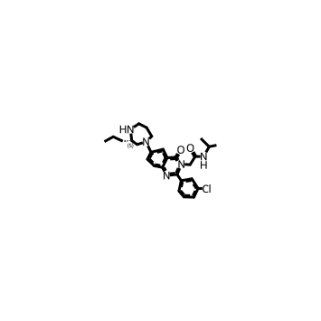 CCC[C@H]1CN(c2ccc3nc(-c4cccc(Cl)c4)n(CC(=O)NC(C)C)c(=O)c3c2)CCCN1